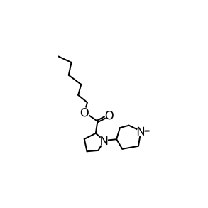 CCCCCCOC(=O)C1CCCN1C1CCN(C)CC1